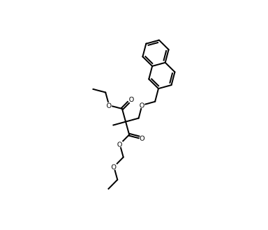 CCOCOC(=O)C(C)(COCc1ccc2ccccc2c1)C(=O)OCC